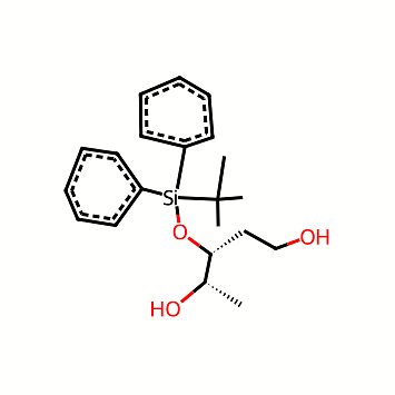 C[C@H](O)[C@@H](CCO)O[Si](c1ccccc1)(c1ccccc1)C(C)(C)C